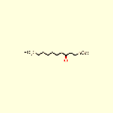 CCCCCCCCCCC(=O)CCCCCCC(=O)O